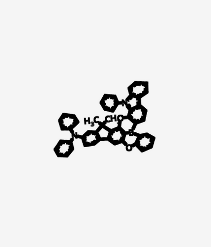 CC1(C)c2cc(N(c3ccccc3)c3ccccc3)ccc2-c2cc3c4c(c21)Oc1c(ccc2c5ccccc5n(-c5ccccc5)c12)B4c1ccccc1O3